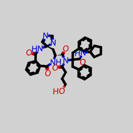 O=C1N[C@@H](C(=O)N(C(=O)CCCO)C(Cc2ccccc2)(Cc2ccccc2)C(=O)NC2CCCC2)C[C@]2(C=NC=N2)NC(=O)c2ccccc21